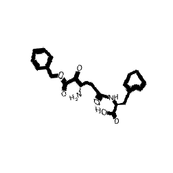 N[C@@H](CC(=O)N[C@@H](Cc1ccccc1)C(=O)O)C(=O)C(=O)OCc1ccccc1